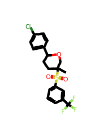 CC1(S(=O)(=O)c2cccc(C(F)(F)F)c2)CCC(c2ccc(Cl)cc2)OC1